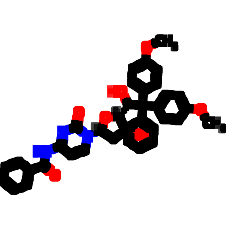 COc1ccc(C(c2ccccc2)(c2ccc(OC)cc2)C(O)[C@H]2O[C@@H](n3ccc(NC(=O)c4ccccc4)nc3=O)C[C]2O)cc1